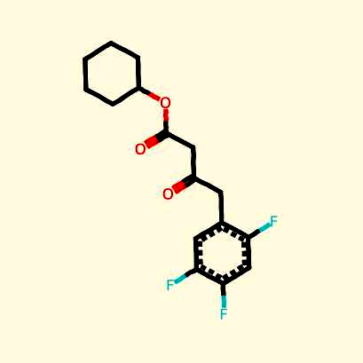 O=C(CC(=O)OC1CCCCC1)Cc1cc(F)c(F)cc1F